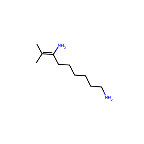 CC(C)=C(N)CCCCCCN